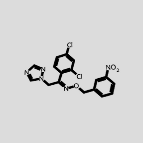 O=[N+]([O-])c1cccc(CON=C(Cn2cncn2)c2ccc(Cl)cc2Cl)c1